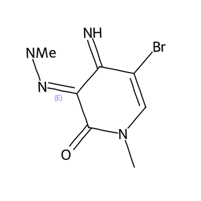 CN/N=C1\C(=N)C(Br)=CN(C)C1=O